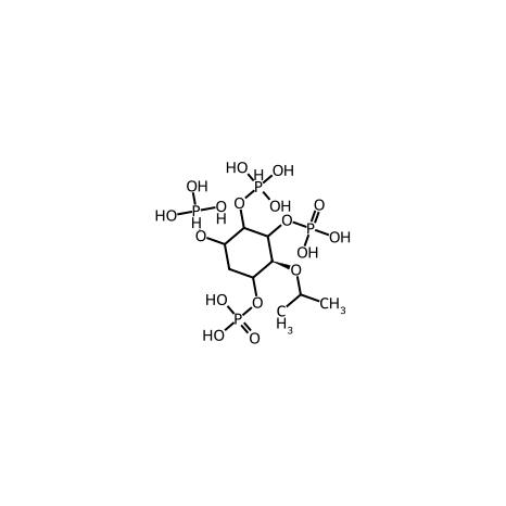 CC(C)O[C@H]1C(OP(=O)(O)O)CC(O[PH](O)(O)O)C(O[PH](O)(O)O)C1OP(=O)(O)O